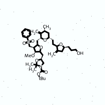 C=C1C[C@H](CCCO)OC1CC[C@H]1C[C@@H](C)C(=C)[C@@H](CC2OC(C[C@H]3CN(C(=O)OC(C)(C)C)C(C)(C)O3)[C@H](OC)[C@H]2CS(=O)(=O)c2ccccc2)O1